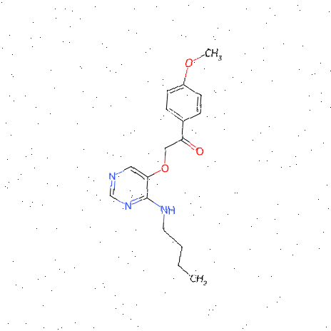 CCCCNc1ncncc1OCC(=O)c1ccc(OC)cc1